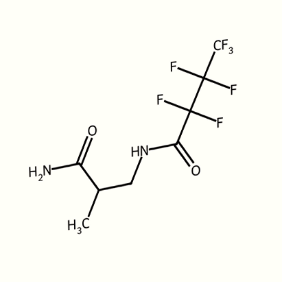 CC(CNC(=O)C(F)(F)C(F)(F)C(F)(F)F)C(N)=O